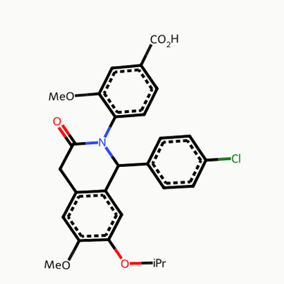 COc1cc2c(cc1OC(C)C)C(c1ccc(Cl)cc1)N(c1ccc(C(=O)O)cc1OC)C(=O)C2